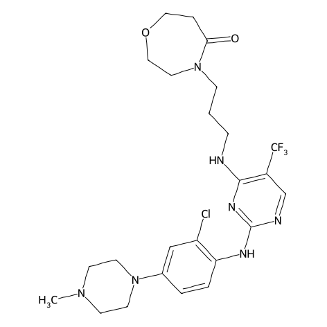 CN1CCN(c2ccc(Nc3ncc(C(F)(F)F)c(NCCCN4CCOCCC4=O)n3)c(Cl)c2)CC1